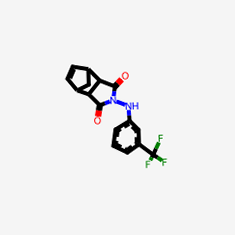 O=C1C2C3C=CC(C3)C2C(=O)N1Nc1cccc(C(F)(F)F)c1